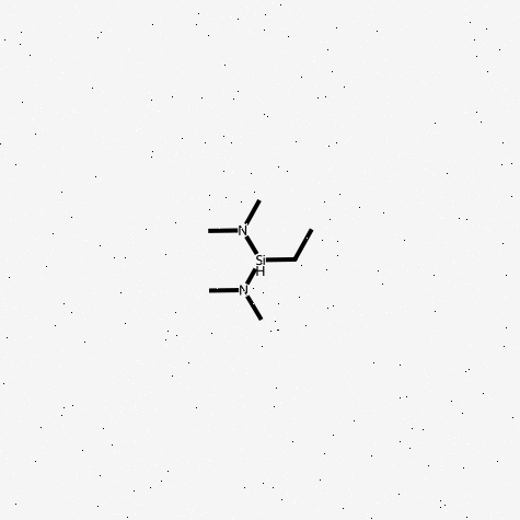 CC[SiH](N(C)C)N(C)C